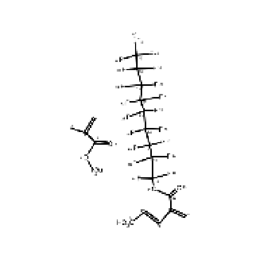 C=C(C)C(=O)OCCCC.C=C(C=CC(=O)O)C(=O)OC(F)(F)C(F)(F)C(F)(F)C(F)(F)C(F)(F)C(F)(F)C(F)(F)C(F)(F)C(F)(F)C(F)(F)F